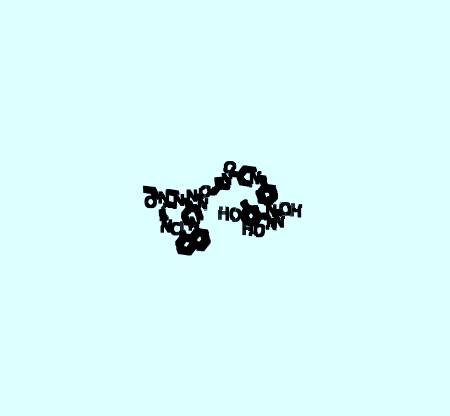 C=CC(=O)N1CCN(c2nc(OCC3CN(C(=O)C4CCN(Cc5ccc(-n6c(O)nnc6-c6cc(C)c(O)cc6O)cc5)CC4)C3)nc3c2CCN(c2cccc4cccc(Cl)c24)C3)C[C@@H]1CC#N